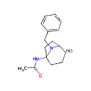 CC(=O)NC12CCCC(CC1)N2Cc1ccccc1.Cl